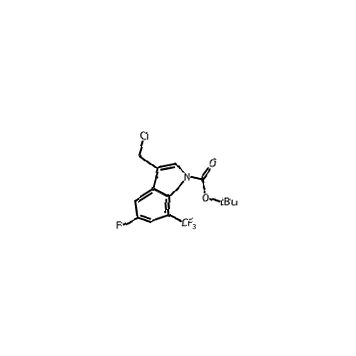 CC(C)(C)OC(=O)n1cc(CCl)c2cc(F)cc(C(F)(F)F)c21